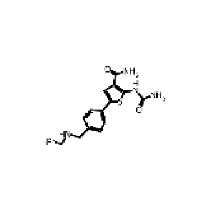 CC(C)CNCc1ccc(-c2cc(C(N)=O)c(NC(N)=O)s2)cc1